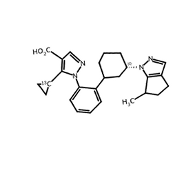 CC1CCc2cnn([C@H]3CCCC(c4ccccc4-n4ncc(C(=O)O)c4[13CH]4CC4)C3)c21